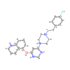 Fc1ccc(CCN2CCN(c3cc(Oc4cccc5ncccc45)ncn3)CC2)cc1